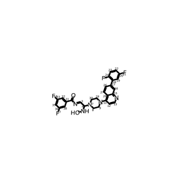 O=C(N=CC(NO)N1CCN(c2ccnc3cc(-c4cc(F)ccc4F)ccc23)CC1)c1cc(F)cc(F)c1